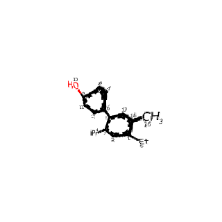 CCc1cc(C(C)C)c(-c2ccc(O)cc2)cc1C